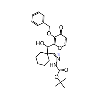 CC(C)(C)OC(=O)N/N=C\C1(C(O)c2occc(=O)c2OCc2ccccc2)CCCCC1